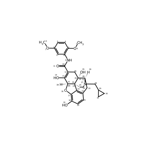 COc1ccc(OC)c(NC(=O)C2=C(O)[C@@H]3Oc4c(O)ccc5c4[C@@]34CCN(CC3CC3)[C@H](C5)[C@]4(O)C2)c1